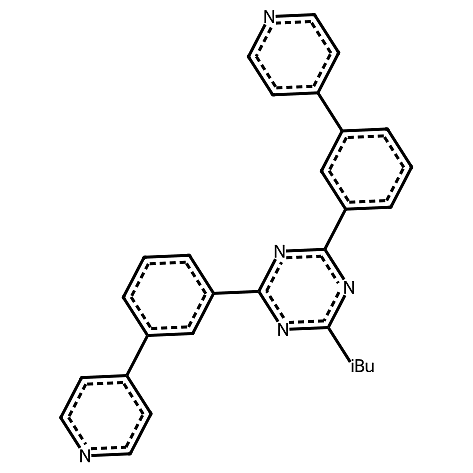 CCC(C)c1nc(-c2cccc(-c3ccncc3)c2)nc(-c2cccc(-c3ccncc3)c2)n1